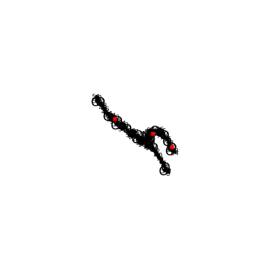 C=CC(=O)OCCCCCCCCCOc1ccc2c3ccc(OC(=O)c4ccc(COC5CCC(C(=O)Oc6ccc(OCCCCCCOC(=O)C=C)cc6)CC5)cc4)cc3c3nc4ccc(Oc5ccc(OCCOCCOC(=O)C=C)cc5)cc4nc3c2c1